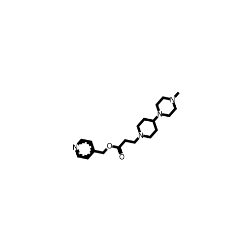 CN1CCN(C2CCN(CCC(=O)OCc3ccncc3)CC2)CC1